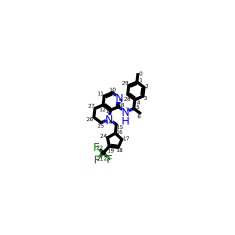 Cc1ccc(C(C)Nc2nccc3c2N(CC2CC=C(C(F)(F)F)C2)CCC3)cc1